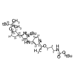 CC(OCCCNC(=O)OC(C)(C)C)c1cc(Nc2cc([C@H]3CC[C@@H](O[Si](C)(C)C(C)(C)C)C3)nn2C(C)(C)C)ccn1